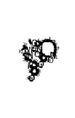 CCOC(=O)C12CC1C=CCCCCN(C)C(=O)C1CC(Oc3cc(-c4csc(NC(C)C)n4)nc4cc(OC)ccc34)CC1C(=O)N2